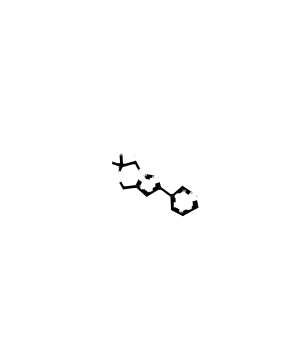 CC1(C)Cn2nc(-c3cccnc3)cc2CO1